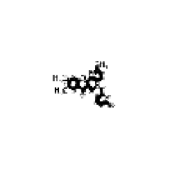 Cc1ccc2c(n1)c(=O)c(C(=O)c1ccc(C)c(C)c1)cn2Cc1cccc(Br)n1